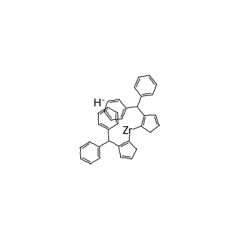 C1=CC(C(c2ccccc2)c2ccccc2)=[C]([Zr][C]2=C(C(c3ccccc3)c3ccccc3)C=CC2)C1.[H-]